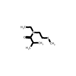 CCN(CCSC)C(=O)C(C)C